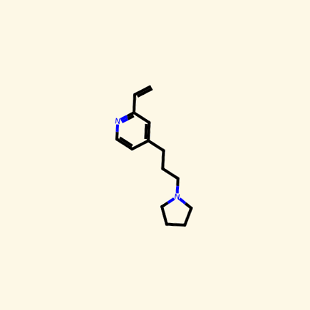 C=Cc1cc(CCCN2CCCC2)ccn1